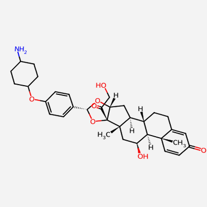 C[C@]12C=CC(=O)C=C1CC[C@@H]1[C@@H]2[C@@H](O)C[C@@]2(C)[C@H]1C[C@H]1O[C@@H](c3ccc(OC4CCC(N)CC4)cc3)O[C@]12C(=O)CO